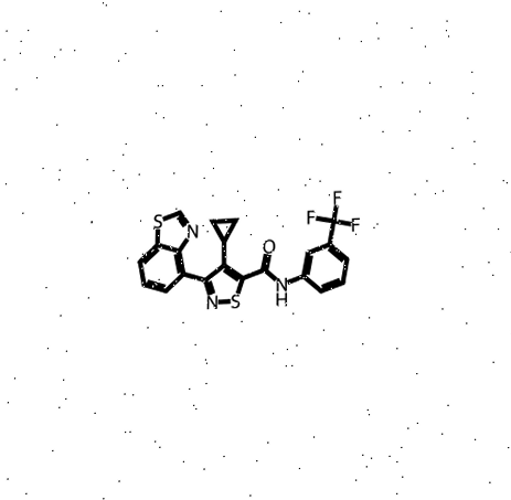 O=C(Nc1cccc(C(F)(F)F)c1)c1snc(-c2cccc3scnc23)c1C1CC1